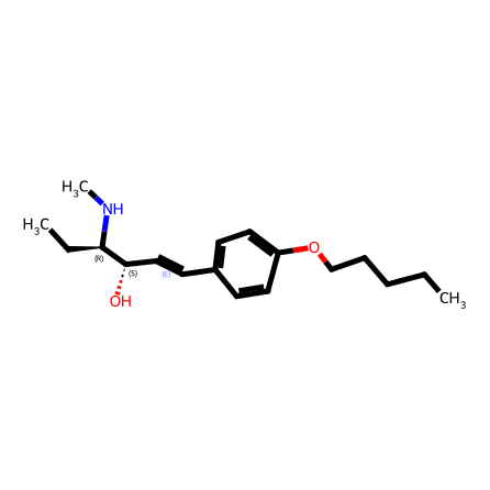 CCCCCOc1ccc(/C=C/[C@H](O)[C@@H](CC)NC)cc1